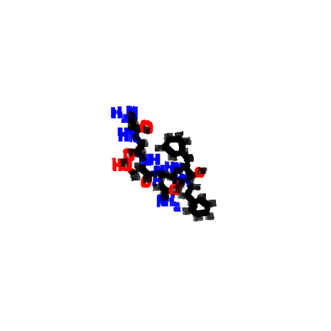 NCC(=O)NCC(=O)N[C@@H](CO)C(=O)N[C@@H](CC(N)=O)C(=O)N[C@@H](Cc1ccccc1)C(=O)NCCc1ccccc1